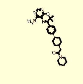 CC1(C)Oc2ncnc(N)c2N=C1c1ccc([C@H]2CC[C@H](CC(=O)N3CCCCC3)CC2)cc1